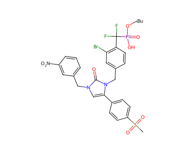 CCC(C)OP(=O)(O)C(F)(F)c1ccc(Cn2c(-c3ccc(S(C)(=O)=O)cc3)cn(Cc3cccc([N+](=O)[O-])c3)c2=O)cc1Br